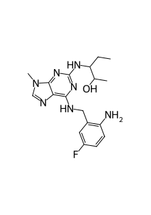 CCC(Nc1nc(NCc2cc(F)ccc2N)c2ncn(C)c2n1)C(C)O